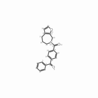 O=C(c1ccccc1)c1ccc(C(=O)N2CCCc3ccoc3C2)cc1